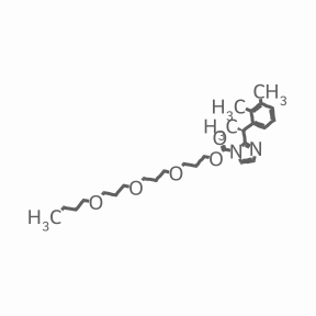 CCCCOCCCOCCCOCCCOC(=O)n1ccnc1[C@@H](C)c1cccc(C)c1C